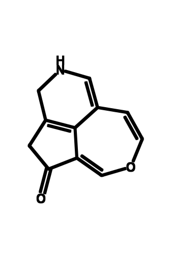 O=C1CC2=C3C(=CNC2)C=COC=C13